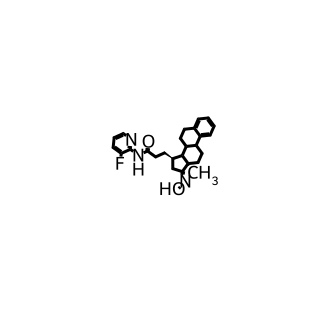 C[C@]12CCC3c4ccccc4CCC3C1[C@H](CCC(=O)Nc1ncccc1F)C/C2=N\O